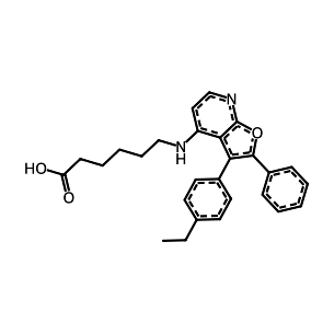 CCc1ccc(-c2c(-c3ccccc3)oc3nccc(NCCCCCC(=O)O)c23)cc1